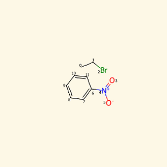 CCBr.O=[N+]([O-])c1ccccc1